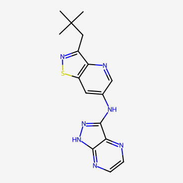 CC(C)(C)Cc1nsc2cc(Nc3n[nH]c4nccnc34)cnc12